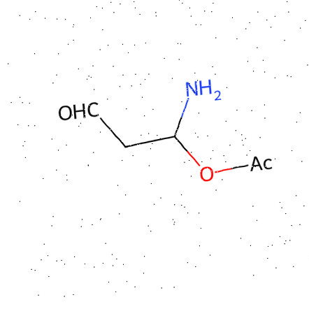 CC(=O)OC(N)CC=O